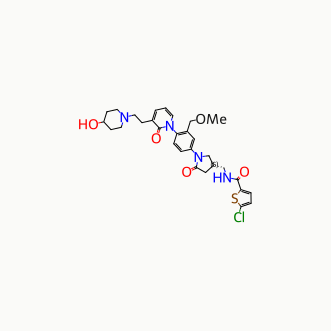 COCc1cc(N2C[C@H](CNC(=O)c3ccc(Cl)s3)CC2=O)ccc1-n1cccc(CCN2CCC(O)CC2)c1=O